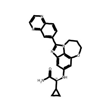 NC(=O)[C@@H](Nc1cc2c3c(c1)nc(-c1ccc4nccnc4c1)n3CCCO2)C1CC1